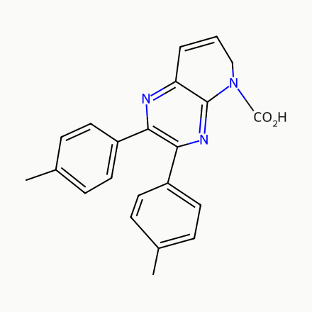 Cc1ccc(-c2nc3c(nc2-c2ccc(C)cc2)N(C(=O)O)CC=C3)cc1